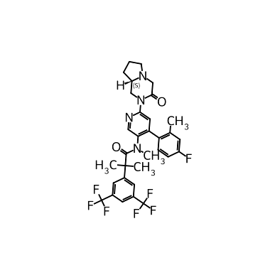 Cc1cc(F)ccc1-c1cc(N2C[C@@H]3CCCN3CC2=O)ncc1N(C)C(=O)C(C)(C)c1cc(C(F)(F)F)cc(C(F)(F)F)c1